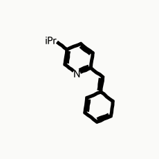 CC(C)c1ccc(/C=C2\C=CC=CC2)nc1